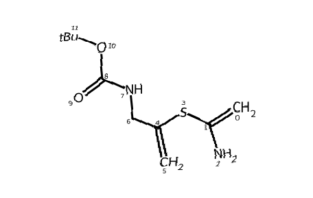 C=C(N)SC(=C)CNC(=O)OC(C)(C)C